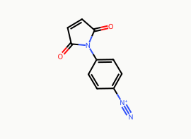 N#[N+]c1ccc(N2C(=O)C=CC2=O)cc1